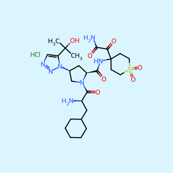 CC(C)(O)c1cnnn1[C@H]1C[C@@H](C(=O)NC2(C(=O)C(N)=O)CCS(=O)(=O)CC2)N(C(=O)[C@H](N)CC2CCCCC2)C1.Cl